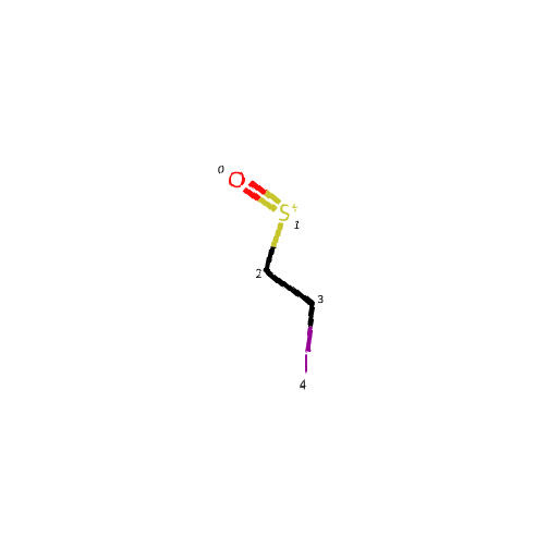 O=[S+]CCI